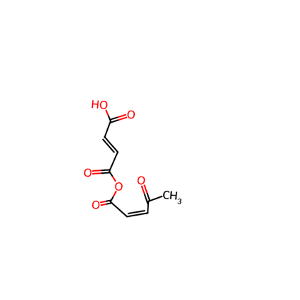 CC(=O)/C=C\C(=O)OC(=O)/C=C/C(=O)O